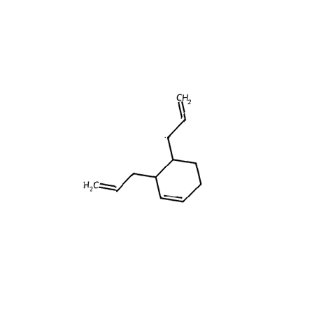 C=C[CH]C1CCC=CC1CC=C